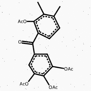 CC(=O)Oc1cc(C(=O)c2ccc(C)c(C)c2OC(C)=O)cc(OC(C)=O)c1OC(C)=O